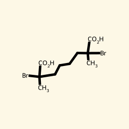 CC(Br)(CCCCC(C)(Br)C(=O)O)C(=O)O